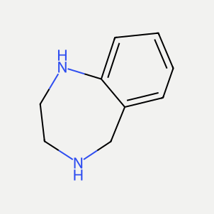 c1ccc2c(c1)CNCCN2